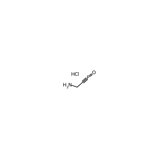 Cl.NCC#P=O